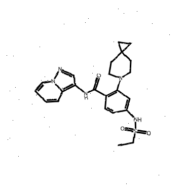 CCS(=O)(=O)Nc1ccc(C(=O)Nc2cnn3ccccc23)c(N2CCC3(CC2)CC3)c1